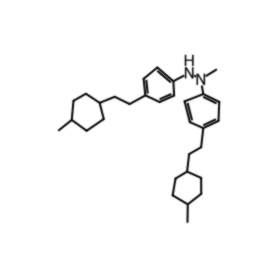 CC1CCC(CCc2ccc(NN(C)c3ccc(CCC4CCC(C)CC4)cc3)cc2)CC1